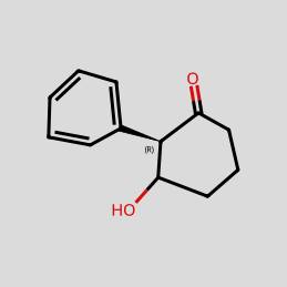 O=C1CCCC(O)[C@H]1c1ccccc1